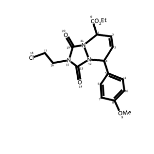 CCOC(=O)C1C=CC(c2ccc(OC)cc2)n2c(=O)n(CCCl)c(=O)n21